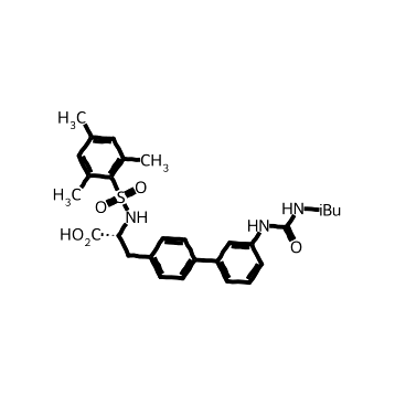 CCC(C)NC(=O)Nc1cccc(-c2ccc(C[C@@H](NS(=O)(=O)c3c(C)cc(C)cc3C)C(=O)O)cc2)c1